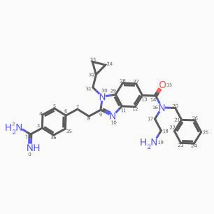 N=C(N)c1ccc(CCc2nc3cc(C(=O)N(CCN)Cc4ccccc4)ccc3n2CC2CC2)cc1